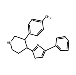 Cc1ccc(C2CNCCN2c2nc(-c3ccccc3)cs2)cc1